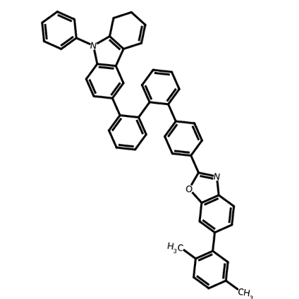 Cc1ccc(C)c(-c2ccc3nc(-c4ccc(-c5ccccc5-c5ccccc5-c5ccc6c(c5)c5c(n6-c6ccccc6)CCC=C5)cc4)oc3c2)c1